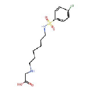 O=C(O)CNCCCCCCNS(=O)(=O)c1ccc(Cl)cc1